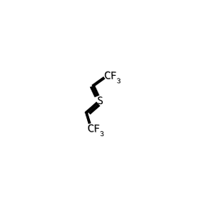 FC(F)(F)C=S=CC(F)(F)F